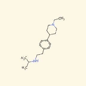 CCN1CCC(c2ccc(CCNC(C)C)cc2)CC1